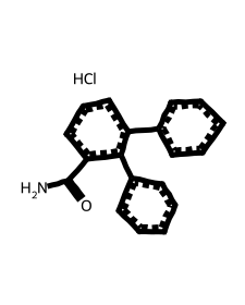 Cl.NC(=O)c1cccc(-c2ccccc2)c1-c1ccccc1